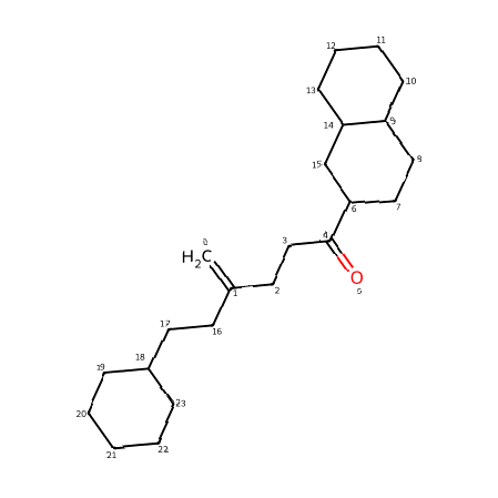 C=C(CCC(=O)C1CCC2CCCCC2C1)CCC1CCCCC1